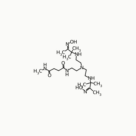 CNC(=O)CCC(=O)NCCN(CCNC(C)(C)/C(C)=N\O)CCNC(C)(C)/C(C)=N\O